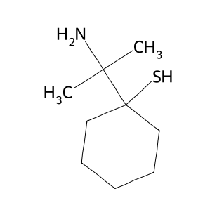 CC(C)(N)C1(S)CCCCC1